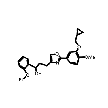 CCOc1ccccc1C(O)CCc1coc(-c2ccc(OC)c(OCC3CC3)c2)n1